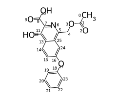 CC(=O)OCc1nc(C(=O)O)c(O)c2ccc(Oc3ccccc3)cc12